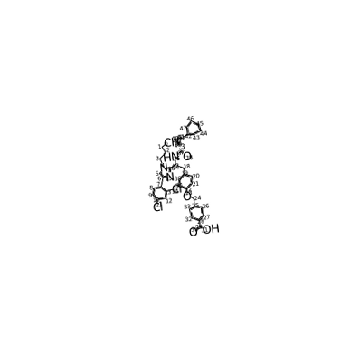 CCCCn1cc(-c2ccc(Cl)cc2Cl)nc1[C@H](Cc1ccc(OCc2ccc(C(=O)O)cc2)cc1)NC(=O)[C@@H]1C[C@H]1c1ccccc1